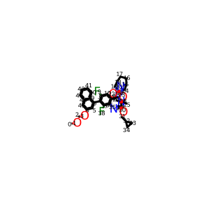 COCOc1cc(-c2c(F)cc3c(N4CC5CCC(C4)N5C(=O)OC(C)(C)C)nc(OCC4CC4)nc3c2F)c2ccccc2c1